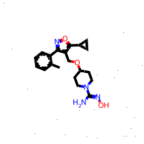 Cc1ccccc1-c1noc(C2CC2)c1COC1CCN(/C(N)=N/O)CC1